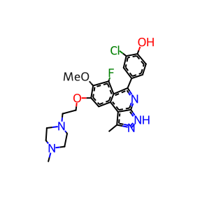 COc1c(OCCN2CCN(C)CC2)cc2c(c(-c3ccc(O)c(Cl)c3)nc3[nH]nc(C)c32)c1F